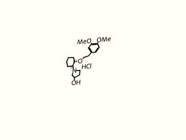 COc1ccc(CCO[C@H]2CCCC[C@@H]2N2CCC(O)C2)cc1OC.Cl